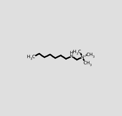 CCCCCCCNC[N+](C)(C)C